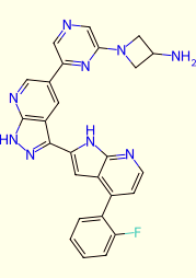 NC1CN(c2cncc(-c3cnc4[nH]nc(-c5cc6c(-c7ccccc7F)ccnc6[nH]5)c4c3)n2)C1